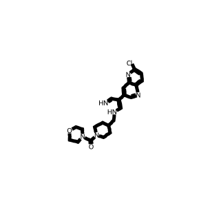 N=C/C(=C\NCC1CCN(C(=O)N2CCOCC2)CC1)c1cnc2ccc(Cl)nc2c1